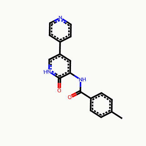 Cc1ccc(C(=O)Nc2cc(-c3ccncc3)c[nH]c2=O)cc1